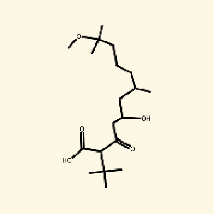 COC(C)(C)CCCC(C)CC(O)CC(=O)C(C(=O)O)C(C)(C)C